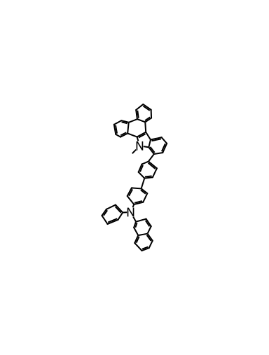 Cn1c2c(-c3ccc(-c4ccc(N(c5ccccc5)c5ccc6ccccc6c5)cc4)cc3)cccc2c2c3ccccc3c3ccccc3c21